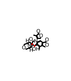 CC1=C(N2CC[C@]3(C[C@H]4COC[C@@H](C3)N4C[C@H](O)c3ccc4c(c3C)COC4=O)C2=O)COC1=O